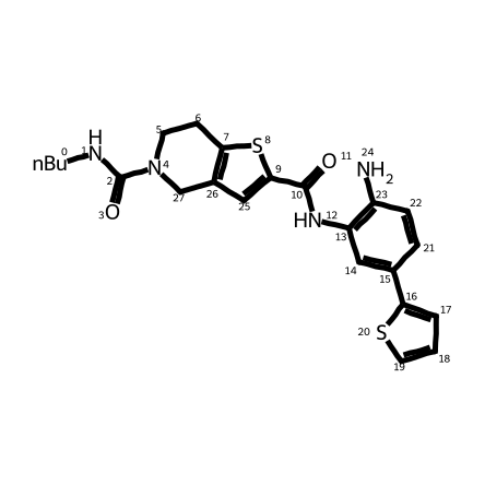 CCCCNC(=O)N1CCc2sc(C(=O)Nc3cc(-c4cccs4)ccc3N)cc2C1